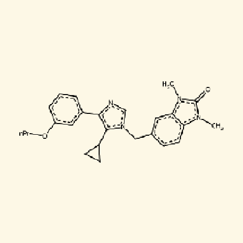 CCCOc1cccc(-c2ncn(Cc3ccc4c(c3)n(C)c(=O)n4C)c2C2CC2)c1